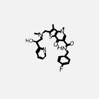 Cc1c(CN(C)CC(O)c2ccccn2)sc2c(=O)c(C(=O)NCc3ccc(F)cc3)cn(C)c12